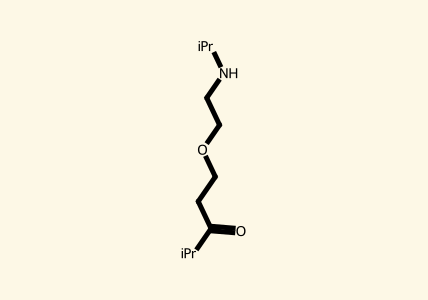 CC(C)NCCOCCC(=O)C(C)C